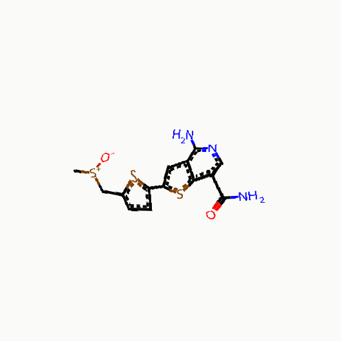 C[S+]([O-])Cc1ccc(-c2cc3c(N)ncc(C(N)=O)c3s2)s1